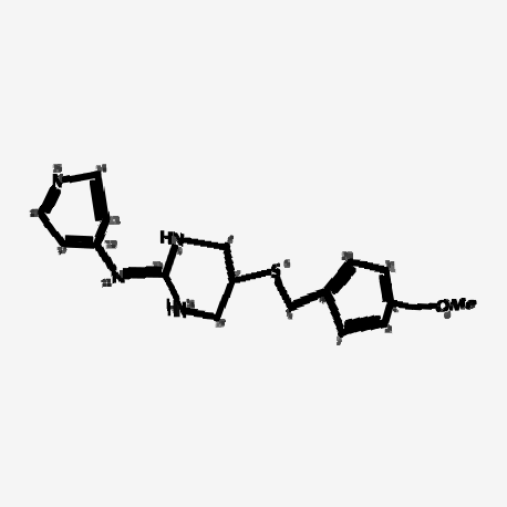 COc1ccc(CSC2CNC(=Nc3ccncc3)NC2)cc1